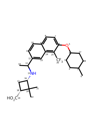 CC1CCC(Oc2ccc3ccc(C(C)N[C@H]4C[C@@H](C(=O)O)C4(C)C)cc3c2C(F)(F)F)CC1